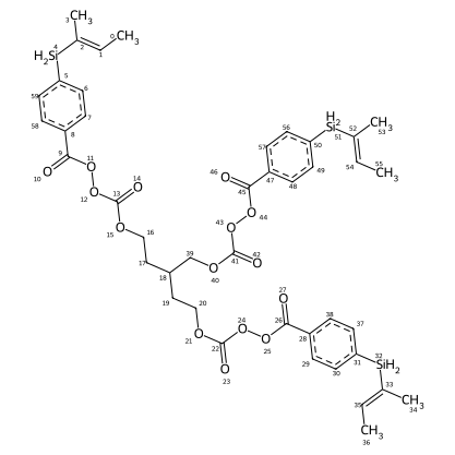 CC=C(C)[SiH2]c1ccc(C(=O)OOC(=O)OCCC(CCOC(=O)OOC(=O)c2ccc([SiH2]C(C)=CC)cc2)COC(=O)OOC(=O)c2ccc([SiH2]C(C)=CC)cc2)cc1